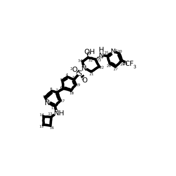 O=S(=O)(c1ccc(-c2ccnc(NC3CCC3)c2)cc1)N1CC[C@@H](Nc2ccc(C(F)(F)F)cn2)[C@@H](O)C1